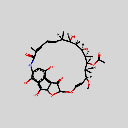 CO[C@H]1/C=C/O[C@@]2(C)OC3C(=c4c(O)cc(c(O)c4=C3O)NC(=O)/C(C)=C\C=C\[C@H](C)[C@H](O)[C@@H](C)[C@@H](O)[C@@H](C)[C@H](OC(C)=O)[C@@H]1C)C2=O